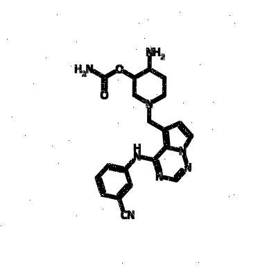 N#Cc1cccc(Nc2ncnn3ccc(CN4CCC(N)C(OC(N)=O)C4)c23)c1